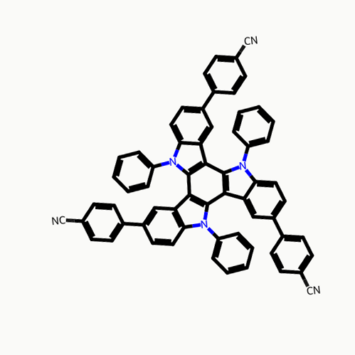 N#Cc1ccc(-c2ccc3c(c2)c2c(c4c5cc(-c6ccc(C#N)cc6)ccc5n(-c5ccccc5)c4c4c5cc(-c6ccc(C#N)cc6)ccc5n(-c5ccccc5)c24)n3-c2ccccc2)cc1